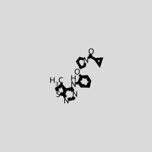 Cc1csc2ncnc(Nc3ccccc3OC3CCN(C(=O)C4CC4)C3)c12